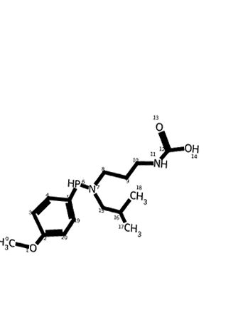 COc1ccc(PN(CCCNC(=O)O)CC(C)C)cc1